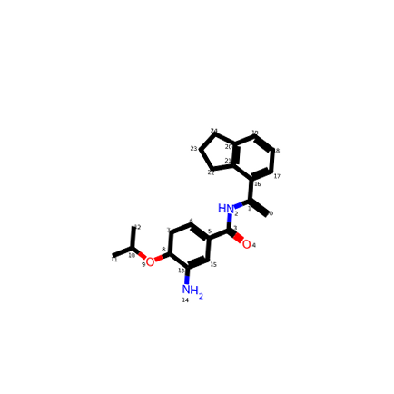 C=C(NC(=O)C1=CCC(OC(C)C)C(N)=C1)c1cccc2c1CCC2